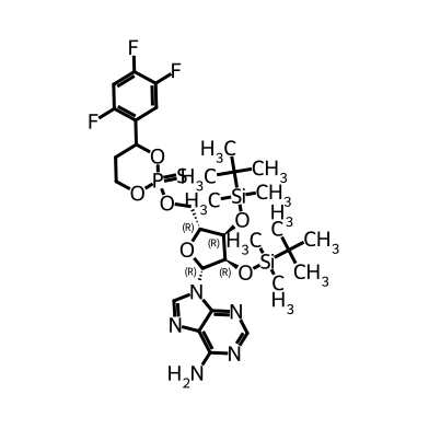 CC(C)(C)[Si](C)(C)O[C@@H]1[C@H](O[Si](C)(C)C(C)(C)C)[C@@H](COP2(=S)OCCC(c3cc(F)c(F)cc3F)O2)O[C@H]1n1cnc2c(N)ncnc21